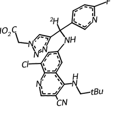 [2H]C(Nc1cc(Cl)c2ncc(C#N)c(NCC(C)(C)C)c2c1)(c1ccc(F)nc1)c1cn(CC(=O)O)nn1